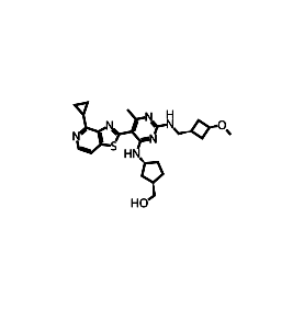 CO[C@H]1C[C@@H](CNc2nc(C)c(-c3nc4c(C5CC5)nccc4s3)c(N[C@H]3CC[C@@H](CO)C3)n2)C1